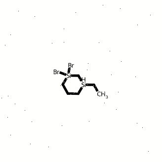 CC[SiH]1CCC[Si](Br)(Br)C1